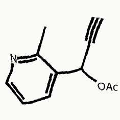 C#CC(OC(C)=O)c1cccnc1C